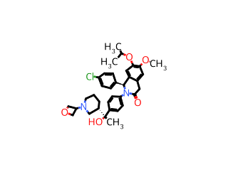 COc1cc2c(cc1OC(C)C)[C@H](c1ccc(Cl)cc1)N(c1ccc(C(C)(O)[C@H]3CCCN(C4COC4)C3)cc1)C(=O)C2